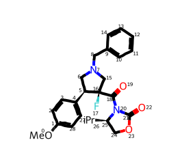 COc1ccc([C@H]2CN(Cc3ccccc3)C[C@]2(F)C(=O)N2C(=O)OC[C@H]2C(C)C)cc1